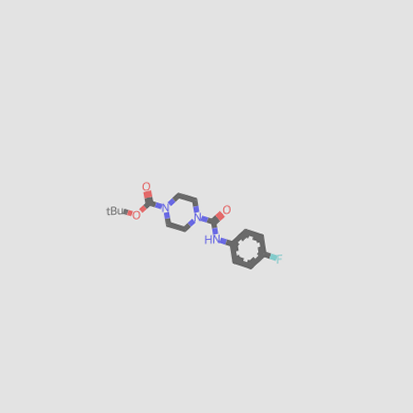 CC(C)(C)OC(=O)N1CCN(C(=O)Nc2ccc(F)cc2)CC1